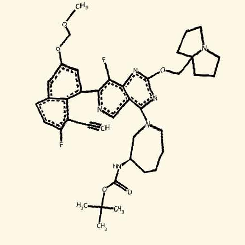 C#Cc1c(F)ccc2cc(OCOC)cc(-c3ncc4c(N5CCCC[C@@H](NC(=O)OC(C)(C)C)C5)nc(OCC56CCCN5CCC6)nc4c3F)c12